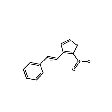 O=[N+]([O-])c1sccc1/C=C/c1ccccc1